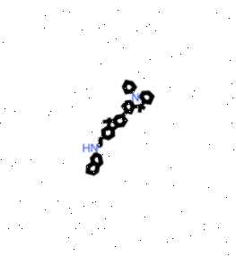 CC1(C)c2cc(/C=C/Nc3ccc4ccccc4c3)ccc2-c2ccc(-c3ccc4c(c3)C(C)(C)c3ccccc3N4c3ccccc3)cc21